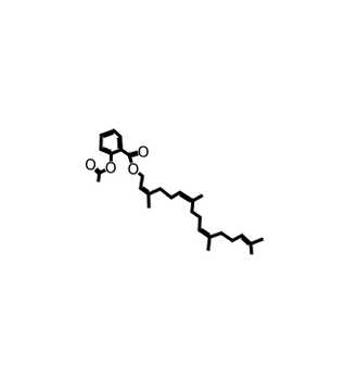 CC(=O)Oc1ccccc1C(=O)OCC=C(C)CCC=C(C)CCC=C(C)CCC=C(C)C